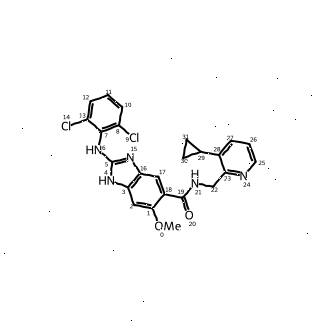 COc1cc2[nH]c(Nc3c(Cl)cccc3Cl)nc2cc1C(=O)NCc1ncccc1C1CC1